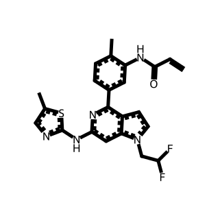 C=CC(=O)Nc1cc(-c2nc(Nc3ncc(C)s3)cc3c2ccn3CC(F)F)ccc1C